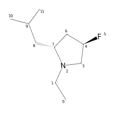 CCN1C[C@H](F)C[C@H]1CC(C)C